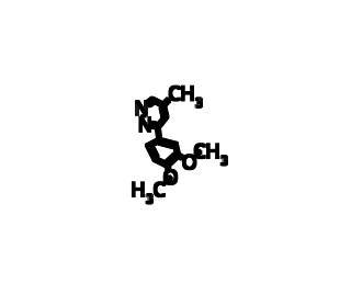 COc1ccc(-c2cc(C)cnn2)cc1OC